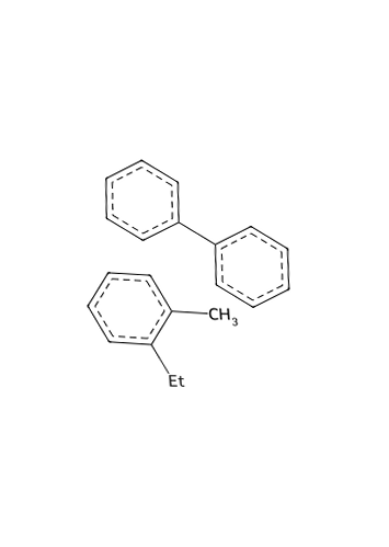 CCc1ccccc1C.c1ccc(-c2ccccc2)cc1